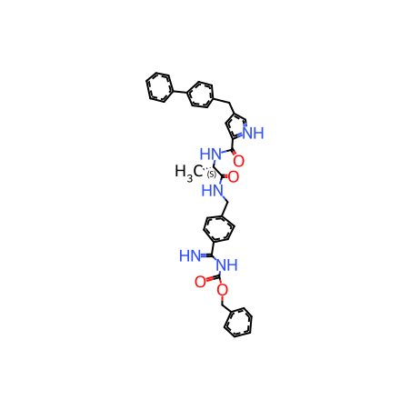 C[C@H](NC(=O)c1cc(Cc2ccc(-c3ccccc3)cc2)c[nH]1)C(=O)NCc1ccc(C(=N)NC(=O)OCc2ccccc2)cc1